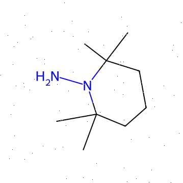 CC1(C)CCCC(C)(C)N1N